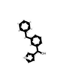 OC(c1ccoc1)c1cccc(Cc2ccccc2)c1